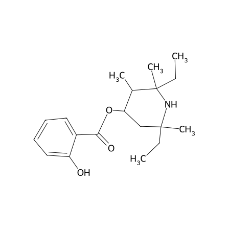 CCC1(C)CC(OC(=O)c2ccccc2O)C(C)C(C)(CC)N1